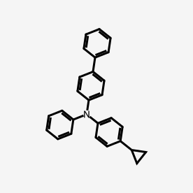 c1ccc(-c2ccc(N(c3ccccc3)c3ccc(C4CC4)cc3)cc2)cc1